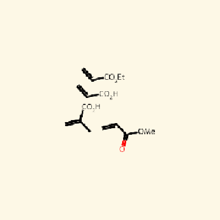 C=C(C)C(=O)O.C=CC(=O)O.C=CC(=O)OC.C=CC(=O)OCC